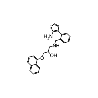 Nc1sccc1-c1ccccc1CNCC(O)COc1cccc2ccccc12